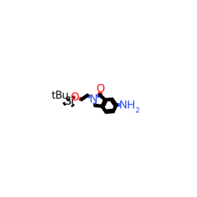 CC(C)(C)[Si](C)(C)OCCN1Cc2ccc(N)cc2C1=O